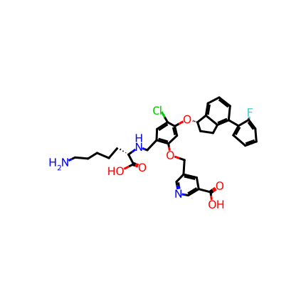 NCCCCC[C@H](NCc1cc(Cl)c(O[C@H]2CCc3c(-c4ccccc4F)cccc32)cc1OCc1cncc(C(=O)O)c1)C(=O)O